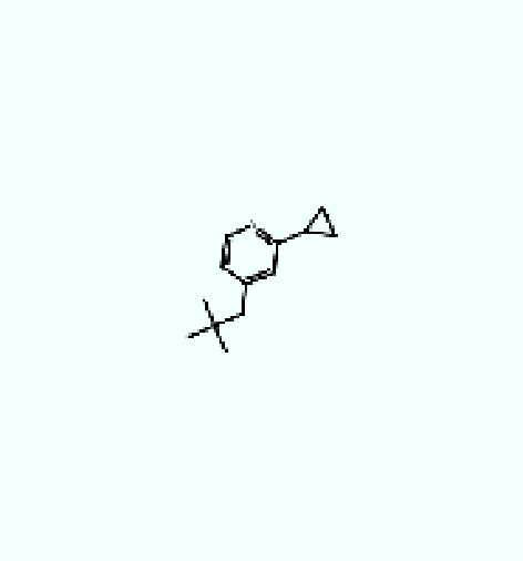 CC(C)(C)Cc1ccnc(C2CC2)c1